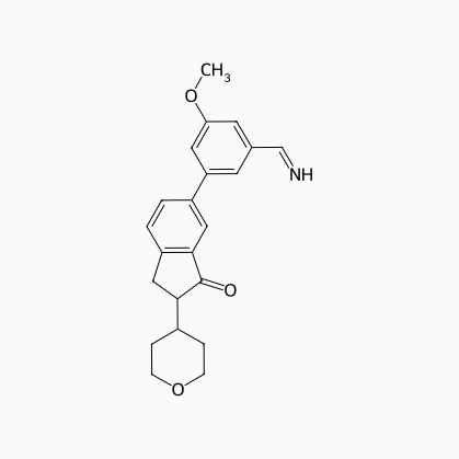 COc1cc(C=N)cc(-c2ccc3c(c2)C(=O)C(C2CCOCC2)C3)c1